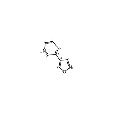 c1cnc(-c2cnoc2)cn1